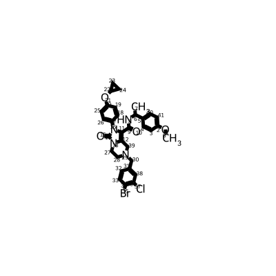 COc1ccc(C(C)NC(=O)c2c3n(c(=O)n2-c2ccc(OC4CC4)cc2)CCN(Cc2ccc(Br)c(Cl)c2)C3)cc1